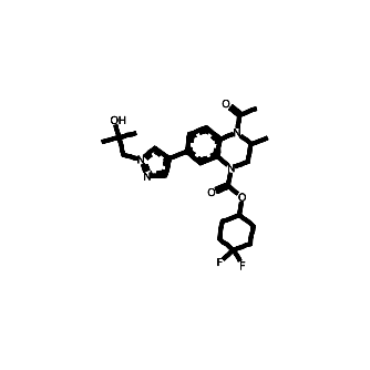 CC(=O)N1c2ccc(-c3cnn(CC(C)(C)O)c3)cc2N(C(=O)OC2CCC(F)(F)CC2)CC1C